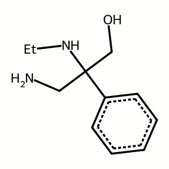 CCNC(CN)(CO)c1ccccc1